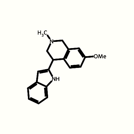 COc1ccc2c(c1)CN(C)CC2c1cc2ccccc2[nH]1